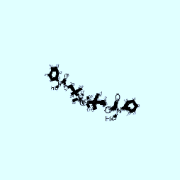 CC(C)(COC(=O)N(O)c1ccccc1)[Si](C)(C)O[Si](C)(C)C(C)(C)COC(=O)N(O)c1ccccc1